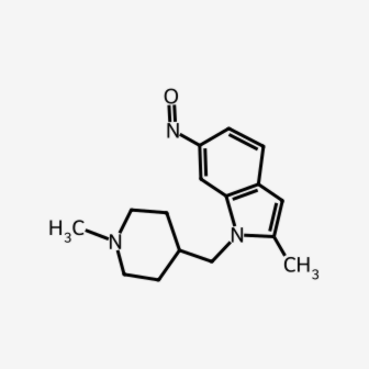 Cc1cc2ccc(N=O)cc2n1CC1CCN(C)CC1